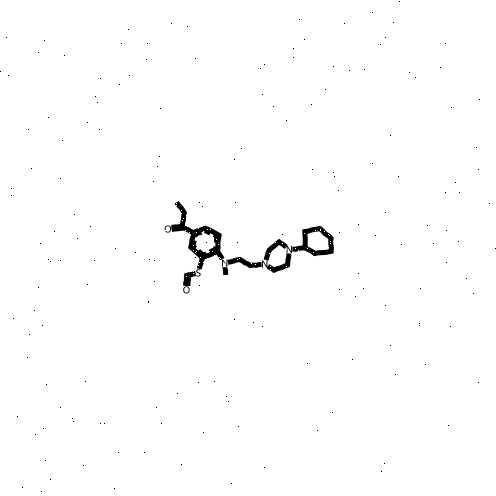 CCC(=O)c1ccc(N(C)CCN2CCN(C3CCCCC3)CC2)c(SC=O)c1